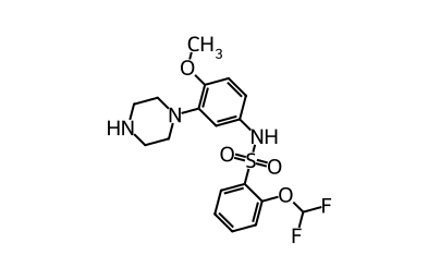 COc1ccc(NS(=O)(=O)c2ccccc2OC(F)F)cc1N1CCNCC1